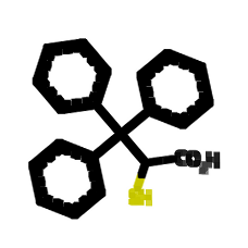 O=C(O)C(S)C(c1ccccc1)(c1ccccc1)c1ccccc1